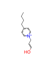 CCCCc1cc[n+](CC=CO)cc1